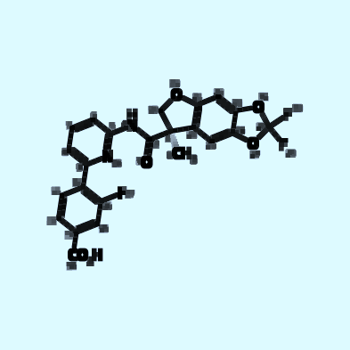 C[C@]1(C(=O)Nc2cccc(-c3ccc(C(=O)O)cc3F)n2)COc2cc3c(cc21)OC(F)(F)O3